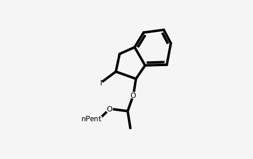 CCCCCOC(C)OC1c2ccccc2CC1I